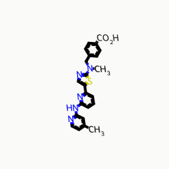 Cc1ccnc(Nc2cccc(-c3cnc(N(C)Cc4ccc(C(=O)O)cc4)s3)n2)c1